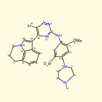 CCc1cnc(Nc2cc([N+](=O)[O-])c(N3CCN(C)CC3)cc2OC)nc1-c1cn2c3c(cccc13)CCC2